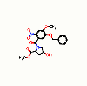 COC(=O)C1CC(O)CN1C(=O)c1cc(OCc2ccccc2)c(OC)cc1[N+](=O)[O-]